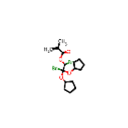 C=C(C)C(=O)OC(Br)C(Br)(OC1CCCC1)OC1CCCC1